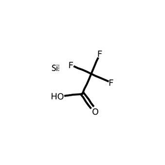 O=C(O)C(F)(F)F.[Si]